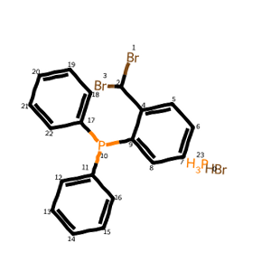 Br.BrC(Br)c1ccccc1P(c1ccccc1)c1ccccc1.P